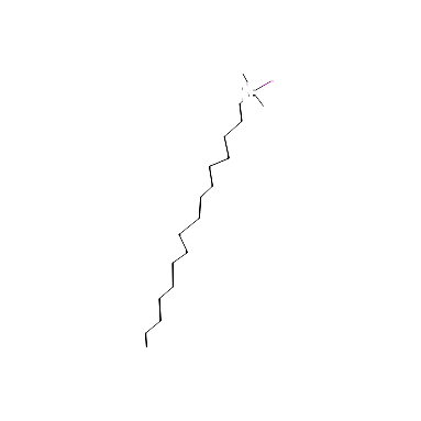 CCCCCCCCCCCCCCCC[Si](C)(C)I